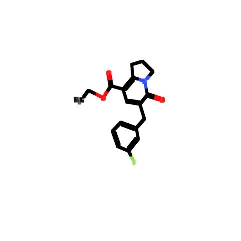 CCOC(=O)c1cc(Cc2cccc(F)c2)c(=O)n2c1CCC2